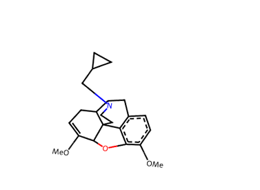 COC1=CCC2C3Cc4ccc(OC)c5c4C2(CCN3CC2CC2)C1O5